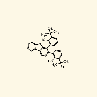 CC(C)(C)c1cccc(-c2ccc3c(c2-c2cccc(C(C)(C)C)c2O)Cc2ccccc2-3)c1O